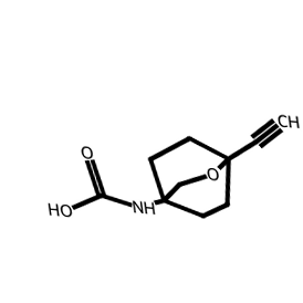 C#CC12CCC(NC(=O)O)(CC1)CO2